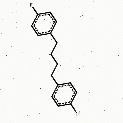 Fc1ccc(C[CH]CCc2ccc(Cl)cc2)cc1